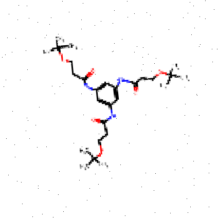 CC(C)(C)OCCC(=O)Nc1cc(NC(=O)CCOC(C)(C)C)cc(NC(=O)CCOC(C)(C)C)c1